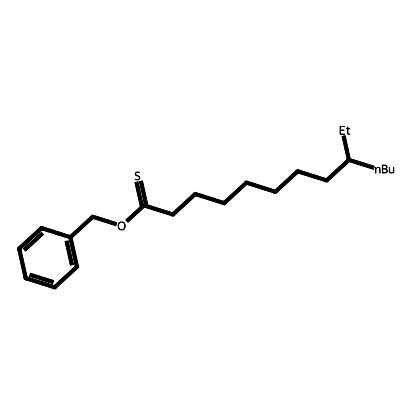 CCCCC(CC)CCCCCCCC(=S)OCc1ccccc1